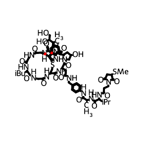 CCC(C)C1NC(=O)CNC(=O)C2Cc3c([nH]c4ccccc34)SCC(NC(=O)CNC1=O)C(=O)NC(CC(=O)NCc1ccc(NC(=O)[C@H](C)NC(=O)C(NC(=O)CCN3C(=O)CC(SC)C3=O)C(C)C)cc1)C(=O)N1CC(O)CC1C(=O)NC(C(C)C(O)CO)C(=O)N2